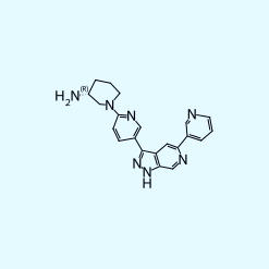 N[C@@H]1CCCN(c2ccc(-c3n[nH]c4cnc(-c5cccnc5)cc34)cn2)C1